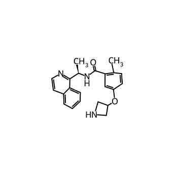 Cc1ccc(OC2CNC2)cc1C(=O)N[C@H](C)c1nccc2ccccc12